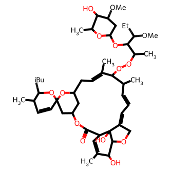 CCC(C)C1OC2(C=CC1C)CC1CC(C/C=C(\C)C(OOC(C)C(OC3CC(OC)C(O)C(C)O3)C(CC)OC)C(C)/C=C/C=C3\COC4C(O)C(C)=CC(C(=O)O1)C34O)O2